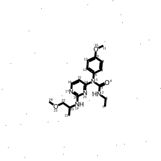 CCNC(=O)N(c1ccc(OC)cc1)c1ccnc(NC(C)COC)n1